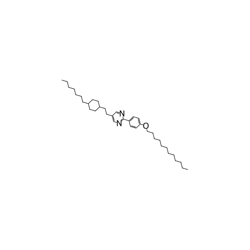 CCCCCCCCCCCCOc1ccc(-c2ncc(CCC3CCC(CCCCCCC)CC3)cn2)cc1